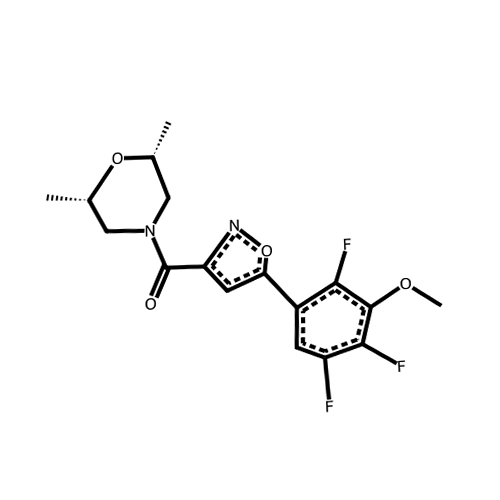 COc1c(F)c(F)cc(-c2cc(C(=O)N3C[C@@H](C)O[C@@H](C)C3)no2)c1F